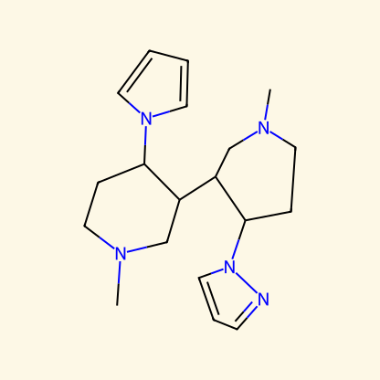 CN1CCC(n2cccc2)C(C2CN(C)CCC2n2cccn2)C1